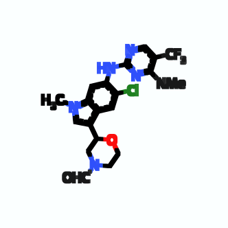 CNc1nc(Nc2cc3c(cc2Cl)c(C2CN(C=O)CCO2)cn3C)ncc1C(F)(F)F